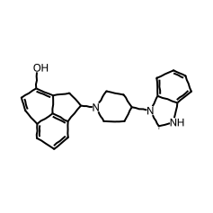 Oc1ccc2cccc3c2c1CC3N1CCC(N2[CH]Nc3ccccc32)CC1